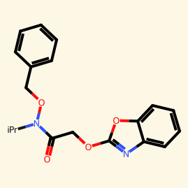 CC(C)N(OCc1ccccc1)C(=O)COc1nc2ccccc2o1